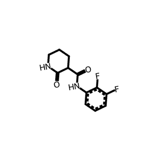 O=C1NCCCC1C(=O)Nc1cccc(F)c1F